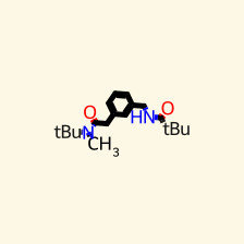 CN(C(=O)Cc1cccc(CNC(=O)C(C)(C)C)c1)C(C)(C)C